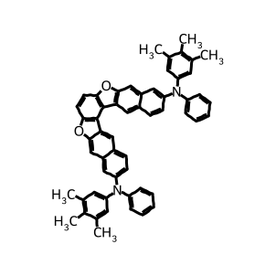 Cc1cc(N(c2ccccc2)c2ccc3cc4c(cc3c2)oc2ccc3oc5cc6cc(N(c7ccccc7)c7cc(C)c(C)c(C)c7)ccc6cc5c3c24)cc(C)c1C